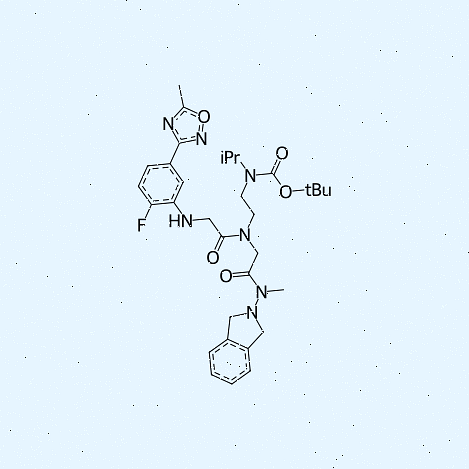 Cc1nc(-c2ccc(F)c(NCC(=O)N(CCN(C(=O)OC(C)(C)C)C(C)C)CC(=O)N(C)N3Cc4ccccc4C3)c2)no1